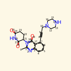 Cc1nc2cccc(C#CCN3CCNCC3)c2c(=O)n1C1CCC(=O)NC1=O